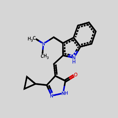 CN(C)Cc1c(/C=C2\C(=O)NN=C2C2CC2)[nH]c2ccccc12